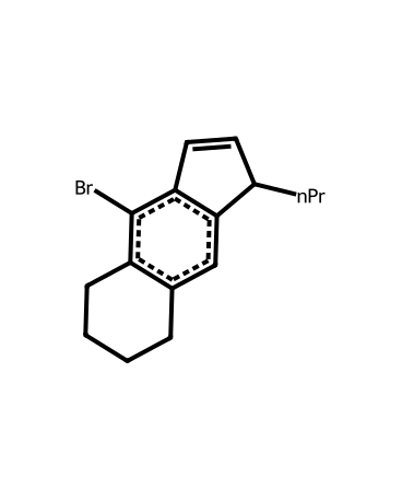 CCCC1C=Cc2c1cc1c(c2Br)CCCC1